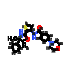 CC(C)(NC(=O)c1sccc1NC(=O)c1ccc(N2CCOCC2)cc1)c1ccccc1